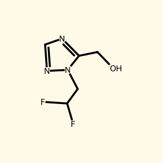 OCc1ncnn1CC(F)F